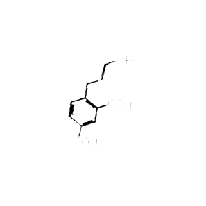 O=C(O)c1ccc(CCCO)c(C(=O)O)c1